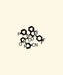 N#Cc1ccnc(N2C(=O)CC[C@H]2C(=O)N(c2cccc(F)c2)[C@@H](C(=O)NC2CCC(F)(F)CC2)c2ccccc2Cl)c1